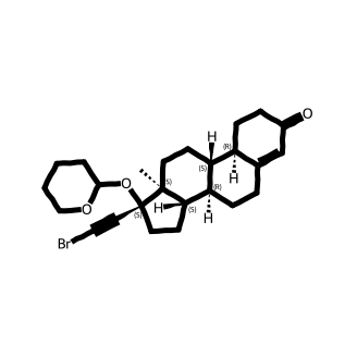 C[C@]12CC[C@H]3[C@@H](CCC4=CC(=O)CC[C@@H]43)[C@@H]1CC[C@]2(C#CBr)OC1CCCCO1